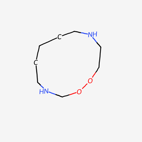 C1CCNCCOOCNCC1